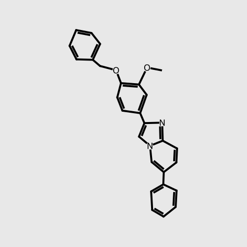 COc1cc(-c2cn3cc(-c4ccccc4)ccc3n2)ccc1OCc1ccccc1